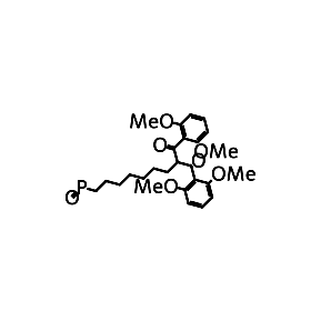 COc1cccc(OC)c1C(=O)C(CCCCCCCP=O)C(=O)c1c(OC)cccc1OC